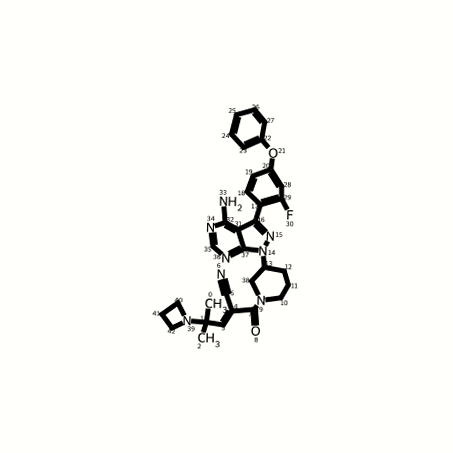 CC(C)(C=C(C#N)C(=O)N1CCCC(n2nc(-c3ccc(Oc4ccccc4)cc3F)c3c(N)ncnc32)C1)N1CCC1